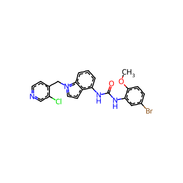 COc1ccc(Br)cc1NC(=O)Nc1cccc2c1ccn2Cc1ccncc1Cl